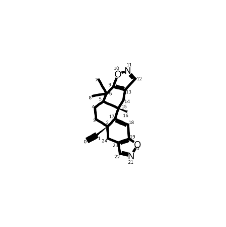 C#C[C@@]12CCC3C(C)(C)c4oncc4C[C@]3(C)C1=Cc1oncc1C2